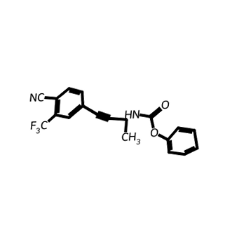 CC(C#Cc1ccc(C#N)c(C(F)(F)F)c1)NC(=O)Oc1ccccc1